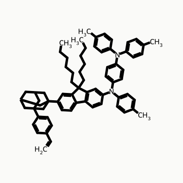 C=Cc1ccc(C23CC4CC(C2)CC(c2ccc5c(c2)C(CCCCCC)(CCCCCC)c2cc(N(c6ccc(C)cc6)c6ccc(N(c7ccc(C)cc7)c7ccc(C)cc7)cc6)ccc2-5)(C4)C3)cc1